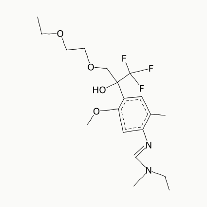 CCOCCOCC(O)(c1cc(C)c(N=CN(C)CC)cc1OC)C(F)(F)F